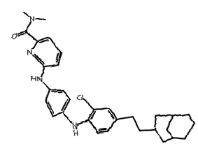 CN(C)C(=O)c1cccc(Nc2ccc(Nc3ccc(CCC4CC5CCCC(C5)C4)cc3Cl)cc2)n1